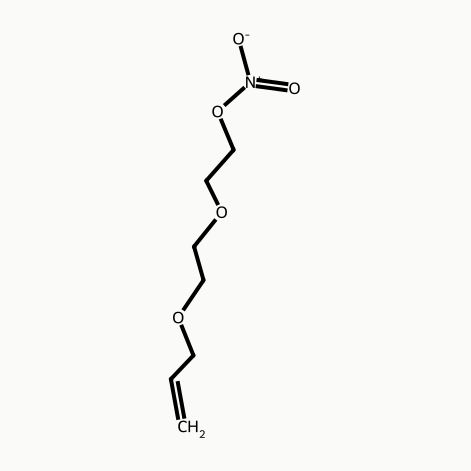 C=CCOCCOCCO[N+](=O)[O-]